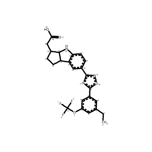 CCc1cc(OC(F)(F)F)cc(-c2nc(-c3ccc4c(c3)C3CCC(CC(=O)O)C3N4)no2)c1